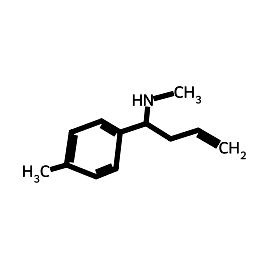 C=CCC(NC)c1ccc(C)cc1